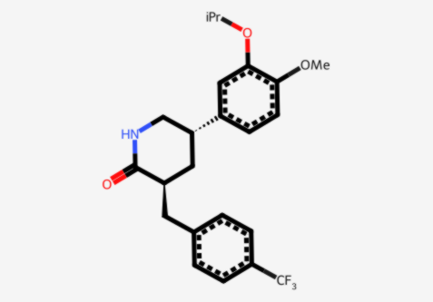 COc1ccc([C@H]2CNC(=O)[C@H](Cc3ccc(C(F)(F)F)cc3)C2)cc1OC(C)C